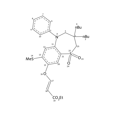 CCCCC1(CCCC)CN(c2ccccc2)c2cc(SC)c(O/C=C/C(=O)OCC)cc2S(=O)(=O)C1